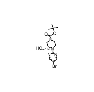 CC(C)(C)OC(=O)N1CCN(c2ncc(Br)cn2)[C@H](CO)C1